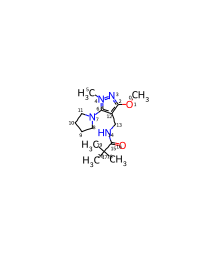 COc1nn(C)c(N2CCCC2)c1CNC(=O)C(C)(C)C